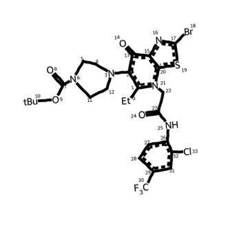 CCc1c(N2CCN(C(=O)OC(C)(C)C)CC2)c(=O)c2nc(Br)sc2n1CC(=O)Nc1ccc(C(F)(F)F)cc1Cl